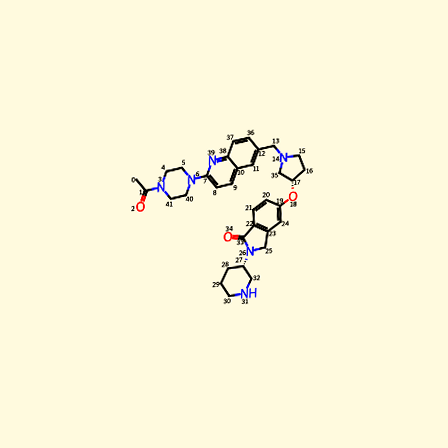 CC(=O)N1CCN(c2ccc3cc(CN4CC[C@H](Oc5ccc6c(c5)CN([C@H]5CCCNC5)C6=O)C4)ccc3n2)CC1